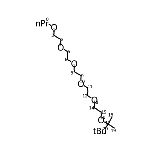 CCCOCCOCCOCCOCCOCCOC(C)(C)C(C)(C)C